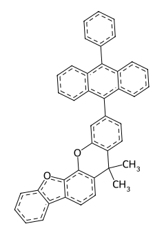 CC1(C)c2ccc(-c3c4ccccc4c(-c4ccccc4)c4ccccc34)cc2Oc2c1ccc1c2oc2ccccc21